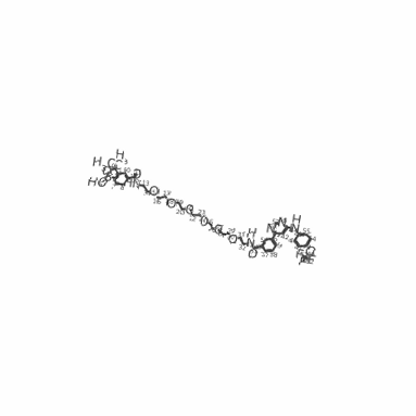 CC1(C)OB(O)c2ccc(C(=O)NCCOCCOCCOCCOCCOCCOCCNC(=O)c3cccc(-c4cc(Nc5ccc(OC(F)(F)F)cc5)ncn4)c3)cc21